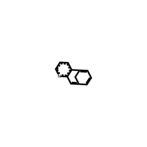 C1=CC2=Cc3ncccc3C(=C1)C2